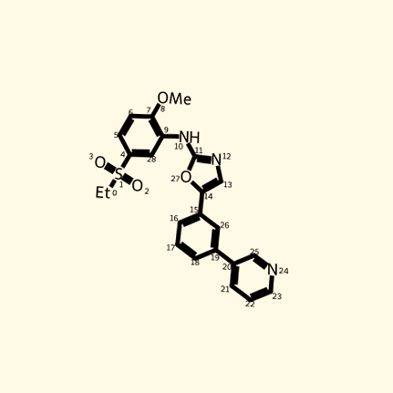 CCS(=O)(=O)c1ccc(OC)c(Nc2ncc(-c3cccc(-c4cccnc4)c3)o2)c1